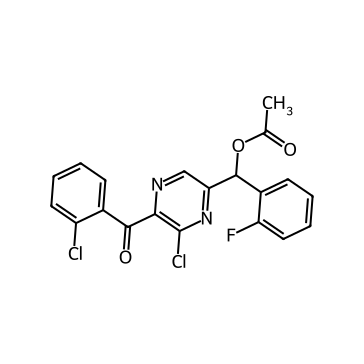 CC(=O)OC(c1cnc(C(=O)c2ccccc2Cl)c(Cl)n1)c1ccccc1F